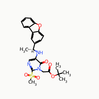 C[C@@H](Nc1cnc(S(C)(=O)=O)n(CC(=O)OC(C)(C)C)c1=O)c1ccc2oc3ccccc3c2c1